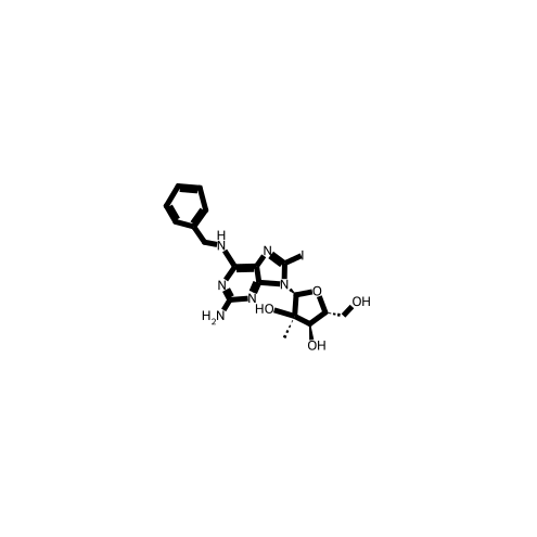 C[C@@]1(O)[C@H](O)[C@@H](CO)O[C@H]1n1c(I)nc2c(NCc3ccccc3)nc(N)nc21